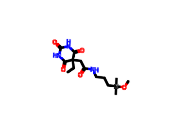 CCC1(CC(=O)NCCC[Si](C)(C)OC)C(=O)NC(=O)NC1=O